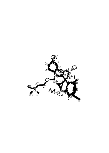 COc1cc(C)cc(C)c1C(N[S+]([O-])C(C)(C)C)(c1nc2cc(C#N)ccc2n1COCC[Si](C)(C)C)C1CC1